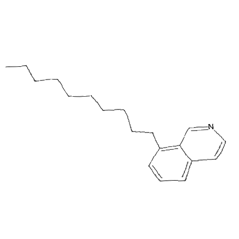 CCCCCCCCCCc1cccc2ccncc12